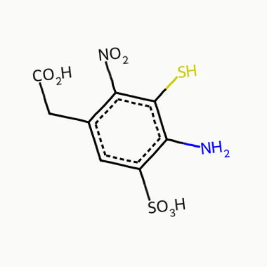 Nc1c(S(=O)(=O)O)cc(CC(=O)O)c([N+](=O)[O-])c1S